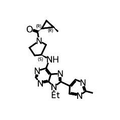 CCn1c(-c2cnc(C)nc2)nc2c(N[C@H]3CCN(C(=O)[C@@H]4C[C@H]4C)C3)ncnc21